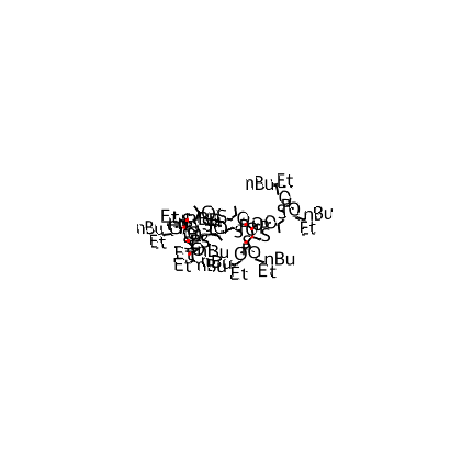 CCCCC(CC)COP(OCC(CC)CCCC)SCC(C)OP(OC(C)CSP(OCC(CC)CCCC)OCC(CC)CCCC)SCC(C)OP(OC(C)CSP(=S)(OC(C)CSP(OCC(CC)CCCC)OCC(CC)CCCC)OC(C)CSP(=S)(OCC(CC)CCCC)OCC(CC)CCCC)SCCC(=O)O